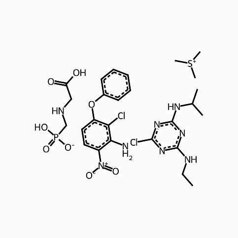 CCNc1nc(Cl)nc(NC(C)C)n1.C[S+](C)C.Nc1c([N+](=O)[O-])ccc(Oc2ccccc2)c1Cl.O=C(O)CNCP(=O)([O-])O